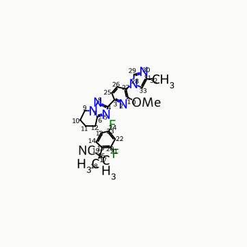 COc1nc(-c2nc3n(n2)CCC[C@H]3c2cc(C(C)(C)C#N)c(F)cc2F)ccc1-n1cnc(C)c1